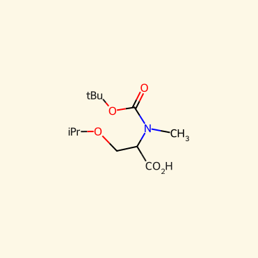 CC(C)OCC(C(=O)O)N(C)C(=O)OC(C)(C)C